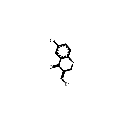 O=C1/C(=C/Br)CSc2ccc(Cl)cc21